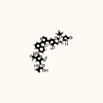 COc1nc(-c2ccnc(-c3cccc4c3CCC[C@@H]4Nc3nc(OC)c(CNC4(C(=O)O)CC4)cc3C(F)(F)F)c2Cl)ccc1CN(C[C@@H]1CCC(=O)N1)C(=O)OC(C)(C)C